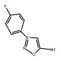 [NH-]c1c[n+](-c2ccc(F)cc2)no1